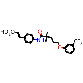 CC(C)(CCCOc1cccc(C(F)(F)F)c1)C(=O)Nc1ccc(C=CC(=O)O)cc1